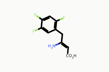 NC(=CC(=O)O)Cc1cc(F)c(F)cc1F